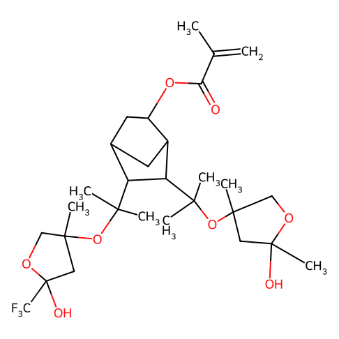 C=C(C)C(=O)OC1CC2CC1C(C(C)(C)OC1(C)COC(C)(O)C1)C2C(C)(C)OC1(C)COC(O)(C(F)(F)F)C1